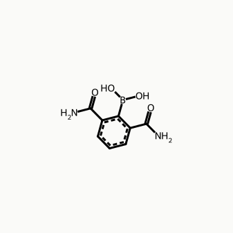 NC(=O)c1cccc(C(N)=O)c1B(O)O